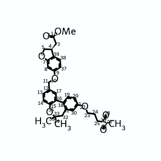 COC(=O)C[C@@H]1COc2cc(OCc3ccc4c(c3)-c3ccc(OCCCS(C)(=O)=O)cc3CC(C)(C)O4)ccc21